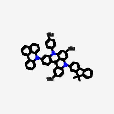 CC(C)(C)c1ccc(N2c3cc(N(c4ccccc4)c4ccccc4-c4ccccc4)ccc3B3c4cc(C(C)(C)C)ccc4N(c4ccc5c(c4)C(C)(C)c4ccccc4-5)c4cc(C(C)(C)C)cc2c43)cc1